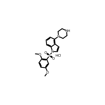 COc1ccc(OC)c(S(=O)(=O)n2ccc3c(N4CCNCC4)cccc32)c1.Cl